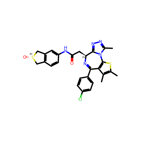 Cc1sc2c(c1C)C(c1ccc(Cl)cc1)=N[C@@H](CC(=O)Nc1ccc3c(c1)C[S@@+]([O-])C3)c1nnc(C)n1-2